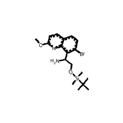 COc1ccc2ccc(Br)c(C(N)CO[Si](C)(C)C(C)(C)C)c2n1